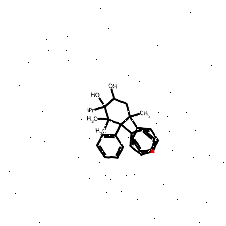 CC(C)C1(O)C(O)CC(C)(c2ccccc2)C(c2ccccc2)(c2ccccc2)C1(C)C